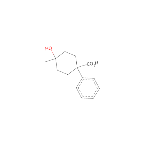 CC1(O)CCC(C(=O)O)(c2ccccc2)CC1